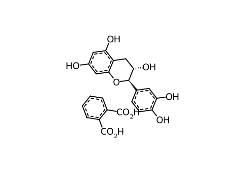 O=C(O)c1ccccc1C(=O)O.Oc1cc(O)c2c(c1)O[C@H](c1ccc(O)c(O)c1)[C@@H](O)C2